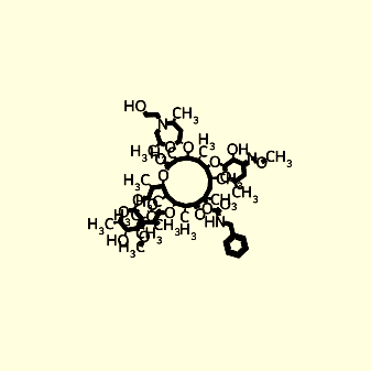 CON=C1C[C@@H](C)O[C@@H](O[C@@H]2[C@@H](C)[C@H](O[C@H]3C[C@H](C)N(CCO)C[C@H](C)O3)[C@@H](C)C(=O)O[C@H]([C@@H](C)CO[C@@H]3O[C@H](C)[C@@H](O)[C@@H](OC)[C@H]3OC)[C@H](C)[C@@H](OC(=O)CC(C)C)[C@@H](C)C(=O)[C@@](C)(OC(=O)NCc3ccccc3)C[C@@H]2C)[C@@H]1O